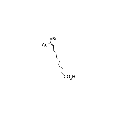 CCCC/C(=C/CCCCCCCC(=O)O)C(C)=O